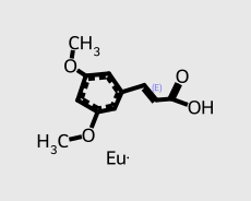 COc1cc(/C=C/C(=O)O)cc(OC)c1.[Eu]